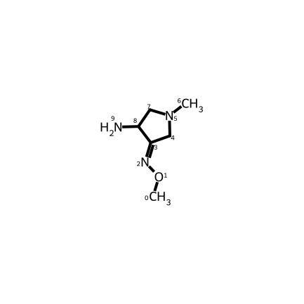 CON=C1CN(C)CC1N